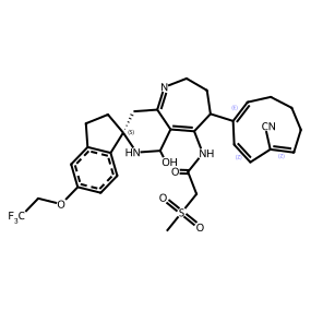 CS(=O)(=O)CC(=O)NC1=C2C(=NCCC1C1=C/CCC/C=C(C#N)/C=C\1)C[C@]1(CCc3cc(OCC(F)(F)F)ccc31)NC2O